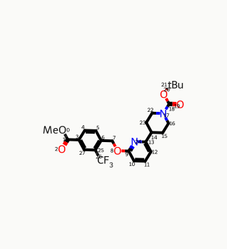 COC(=O)c1ccc(COc2cccc(C3CCN(C(=O)OC(C)(C)C)CC3)n2)c(C(F)(F)F)c1